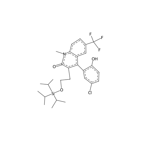 CC(C)[Si](OCCc1c(-c2cc(Cl)ccc2O)c2cc(C(F)(F)F)ccc2n(C)c1=O)(C(C)C)C(C)C